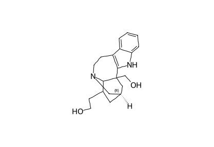 OCCC1C[C@H]2CN3CCc4c([nH]c5ccccc45)C(CO)(C2)C13